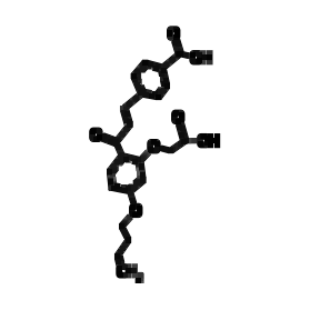 C=CCCOc1ccc(C(=O)/C=C/c2ccc(C(=O)O)cc2)c(OCC(=O)O)c1